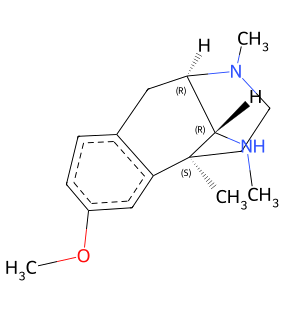 CN[C@H]1[C@H]2Cc3ccc(OC)cc3[C@]1(C)CCN2C